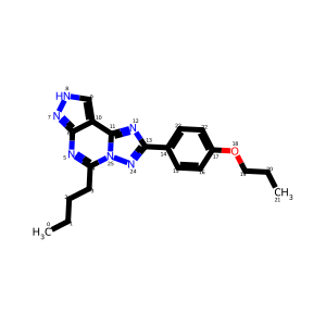 CCCCc1nc2n[nH]cc2c2nc(-c3ccc(OCCC)cc3)nn12